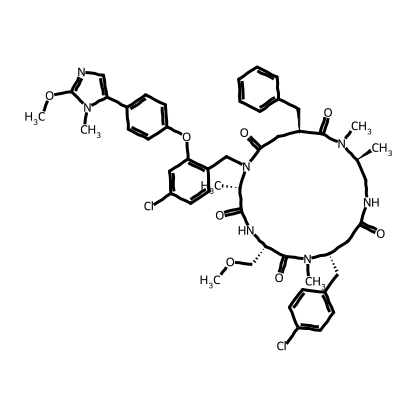 COC[C@@H]1NC(=O)[C@H](C)N(Cc2ccc(Cl)cc2Oc2ccc(-c3cnc(OC)n3C)cc2)C(=O)C[C@@H](Cc2ccccc2)C(=O)N(C)[C@@H](C)CNC(=O)C[C@H](Cc2ccc(Cl)cc2)N(C)C1=O